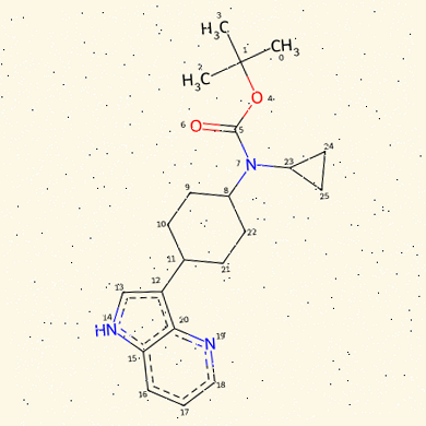 CC(C)(C)OC(=O)N(C1CCC(c2c[nH]c3cccnc23)CC1)C1CC1